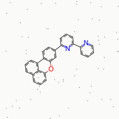 c1ccc(-c2cccc(-c3ccc4c(c3)Oc3cccc5cccc-4c35)n2)nc1